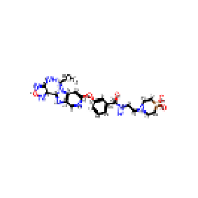 CCn1c(-c2nonc2N)nc2cnc(Oc3cccc(C(=O)NCCN4CCS(=O)(=O)CC4)c3)cc21